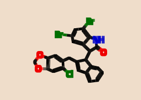 O=C1Nc2c(Br)cc(Br)cc2C1C1C(Cc2cc3c(cc2Cl)OCO3)=Cc2ccccc21